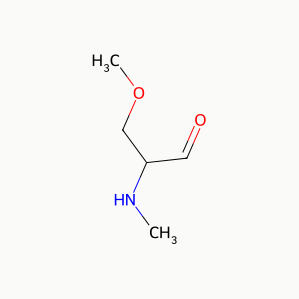 CNC(C=O)COC